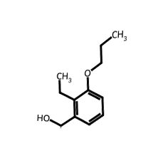 CCCOc1cccc([CH]O)c1CC